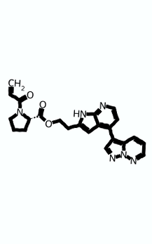 C=CC(=O)N1CCC[C@H]1C(=O)OCCc1cc2c(-c3cnn4ncccc34)ccnc2[nH]1